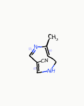 CC1=C\CN/C=C(C#N)/C=N\1